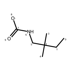 CCC(C)(C)CNC([O])=O